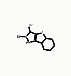 CCCC1C2=C(NN1CC)C1CCCCC1S2